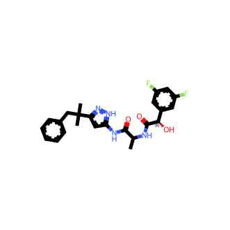 CC(NC(=O)[C@H](O)c1cc(F)cc(F)c1)C(=O)Nc1cc(C(C)(C)Cc2ccccc2)n[nH]1